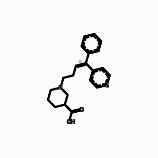 O=C(O)C1CCCN(CC/C=C(/c2ccccc2)c2ccncc2)C1